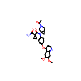 COc1cc2nccc(Oc3ccc(N(C(=O)C4(C(N)=O)CC4)C45CC4CN(C(C)=O)C5)cc3)c2cc1OC